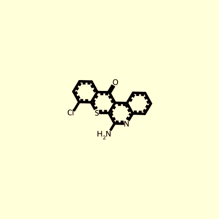 Nc1nc2ccccc2c2c(=O)c3cccc(Cl)c3sc12